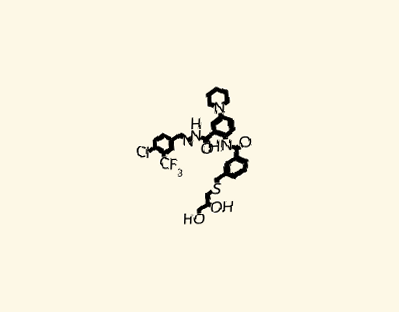 O=C(Nc1ccc(N2CCCCC2)cc1C(=O)NN=Cc1ccc(Cl)c(C(F)(F)F)c1)c1cccc(CSCC(O)CO)c1